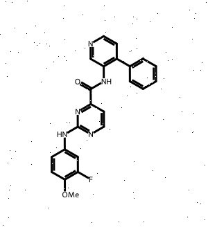 COc1ccc(Nc2nccc(C(=O)Nc3cnccc3-c3ccccc3)n2)cc1F